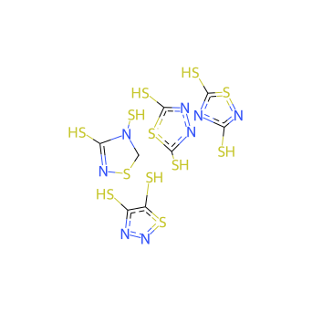 SC1=NSCN1S.Sc1nnc(S)s1.Sc1nnsc1S.Sc1nsc(S)n1